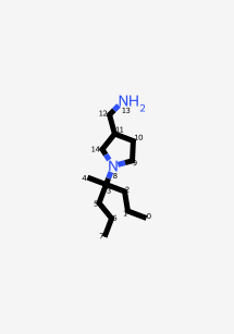 CCCC(C)(CCC)N1CCC(CN)C1